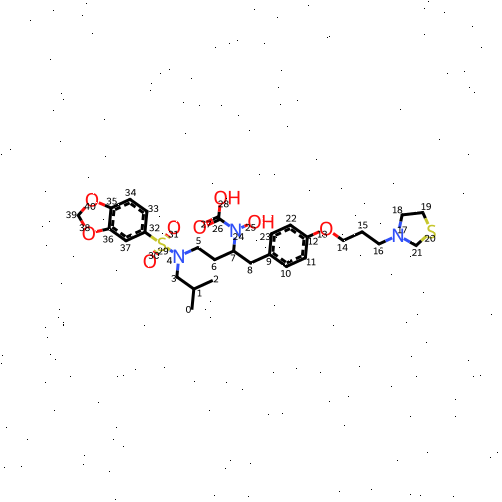 CC(C)CN(CCC(Cc1ccc(OCCCN2CCSC2)cc1)N(O)C(=O)O)S(=O)(=O)c1ccc2c(c1)OCO2